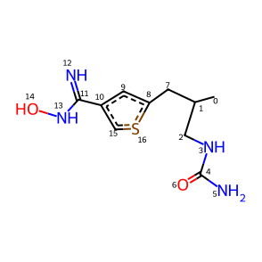 CC(CNC(N)=O)Cc1cc(C(=N)NO)cs1